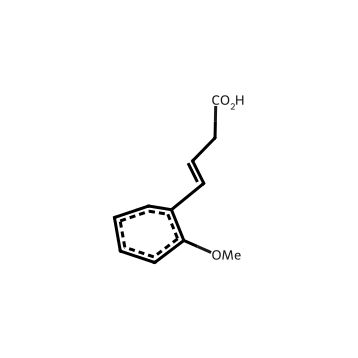 COc1ccccc1C=CCC(=O)O